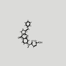 CN(C(=O)/C=C\C(=O)O)c1ccc2c(=O)n3c(nc2c1)C(=Cc1ccccc1)CC3